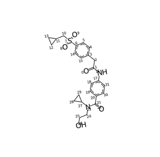 O=C(Cc1ccc(S(=O)(=O)CC2CC2)cc1)Nc1ccc(C(=O)N(CCO)C2CC2)cc1